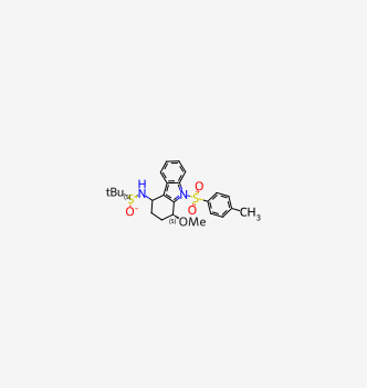 CO[C@H]1CCC(N[S@+]([O-])C(C)(C)C)c2c1n(S(=O)(=O)c1ccc(C)cc1)c1ccccc21